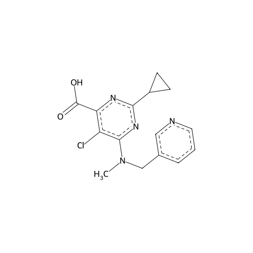 CN(Cc1cccnc1)c1nc(C2CC2)nc(C(=O)O)c1Cl